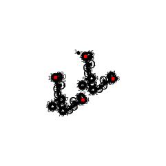 CC.Cc1c(OCOC(=O)CC23CC4CC(CC(C4)C2)C3)cccc1[S+](c1ccccc1)c1cccc(OCOC(=O)CC23CC4CC(CC(C4)C2)C3)c1C.Cc1c(OCOC(=O)CC23CC4CC(CC(C4)C2)C3)cccc1[S+](c1ccccc1)c1cccc(OCOC(=O)CC23CC4CC(CC(C4)C2)C3)c1C